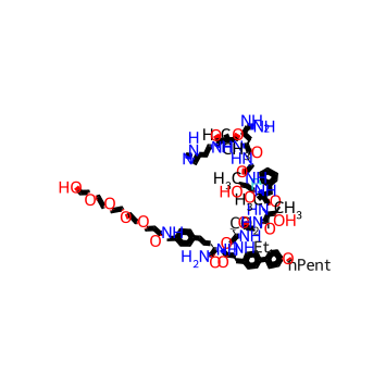 CCCCCOc1ccc(-c2ccc(C[C@H](NC(=O)[C@H](CC(=O)O)NC(=O)CNC(=O)[C@@H](NC(=O)C(C)(Cc3ccccc3F)NC(=O)[C@@H](NC(=O)CNC(=O)[C@H](CCC(=N)N)NC(=O)C(C)(C)C(=O)NCCc3cnc[nH]3)[C@@H](C)O)[C@@H](C)O)C(=O)N[C@@H](CCCc3ccc(CNC(=O)CCOCCOCCOCCOCCO)cc3)C(N)=O)cc2)c(CC)c1